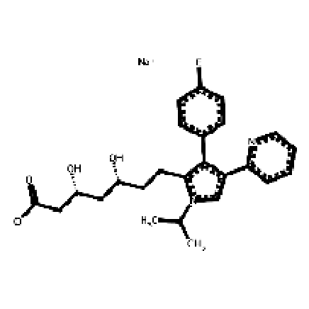 CC(C)n1cc(-c2ccccn2)c(-c2ccc(F)cc2)c1CC[C@@H](O)C[C@@H](O)CC(=O)[O-].[Na+]